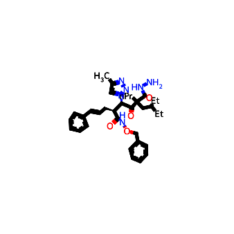 CCCC(CC(CC)CC)(C(=O)NN)C(=O)[C@@H]([C@H](C/C=C/c1ccccc1)C(=O)NOCc1ccccc1)n1cc(C)nn1